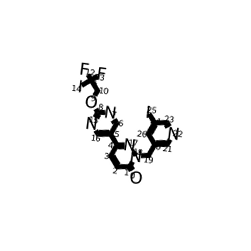 O=c1ccc(-c2cnc(OCC(F)(F)I)nc2)nn1Cc1cncc(I)c1